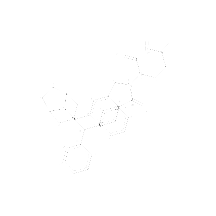 O=C1CCN(N2Cc3cc(CN4C5CCC4CN(C(c4ccccc4)c4ccccc4)C5)ccc3C2=O)C(=O)N1